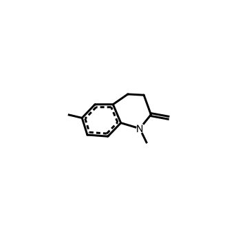 C=C1CCc2cc(C)ccc2N1C